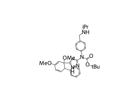 COC1=CC(OC)(c2cc(N(C(=O)OC(C)(C)C)c3ccc(CNC(C)C)cc3)n[nH]2)C(c2ccccc2)C=C1